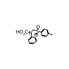 Cc1ccc(S(=O)(=O)CN(C(=O)O)c2ccccc2)cc1